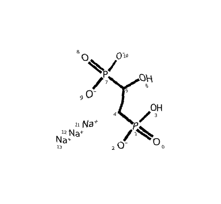 O=P([O-])(O)CC(O)P(=O)([O-])[O-].[Na+].[Na+].[Na+]